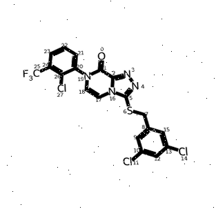 O=c1c2nnc(SCc3cc(Cl)cc(Cl)c3)n2ccn1-c1cccc(C(F)(F)F)c1Cl